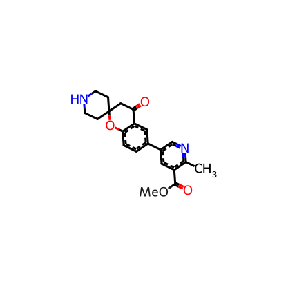 COC(=O)c1cc(-c2ccc3c(c2)C(=O)CC2(CCNCC2)O3)cnc1C